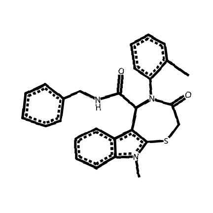 Cc1ccccc1N1C(=O)CSc2c(c3ccccc3n2C)C1C(=O)NCc1ccccc1